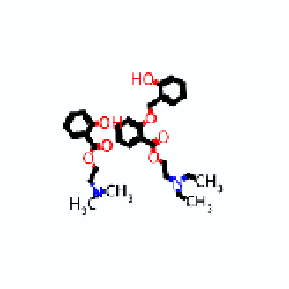 CCN(CC)CCOC(=O)c1ccccc1OCc1ccccc1O.CN(C)CCOC(=O)c1ccccc1O